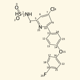 O=[SH](=O)NCc1cc(Cl)cc(-c2ccc(Oc3ccc(F)cc3)cc2)n1